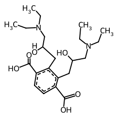 CCN(CC)CC(O)Cc1c(C(=O)O)ccc(C(=O)O)c1CC(O)CN(CC)CC